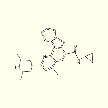 Cc1cc(N2CC(C)NC(C)C2)nc2c1cc(C(=O)NC1CC1)c1nc3ccccc3n12